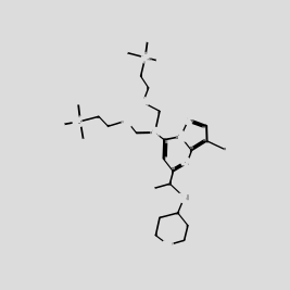 CC(NC1CCOCC1)c1cc(N(COCC[Si](C)(C)C)COCC[Si](C)(C)C)n2ncc(I)c2n1